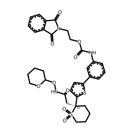 O=C(C[C@]1(c2ccc(-c3cccc(NC(=O)OCCN4C(=O)c5ccccc5C4=O)c3)s2)CCCCS1(=O)=O)NOC1CCCCO1